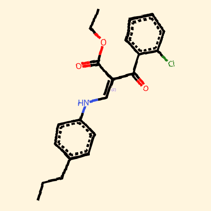 CCCc1ccc(N/C=C(\C(=O)OCC)C(=O)c2ccccc2Cl)cc1